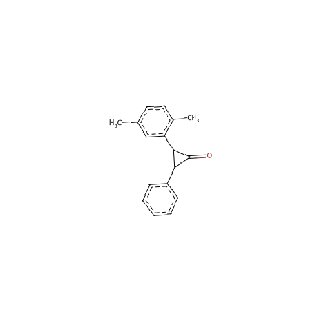 Cc1ccc(C)c(C2C(=O)C2c2ccccc2)c1